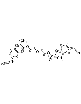 CC(Oc1ccc(N=C=O)cc1)C(=O)OCCOCCOC(=O)C(C)Oc1ccc(OC#N)cc1